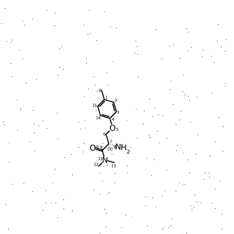 Cc1ccc(OC[C@H](N)C(=O)N(C)C)cc1